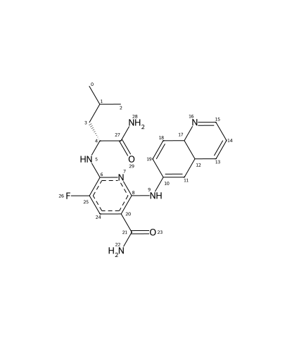 CC(C)C[C@@H](Nc1nc(NC2=CC3C=CC=NC3C=C2)c(C(N)=O)cc1F)C(N)=O